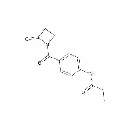 CCC(=O)Nc1ccc(C(=O)N2CCC2=O)cc1